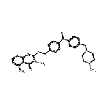 Cc1cccc2nc(SCc3ccc(C(=O)c4ccc(CN5CCN(C)CC5)cc4)cc3)n(C)c(=O)c12